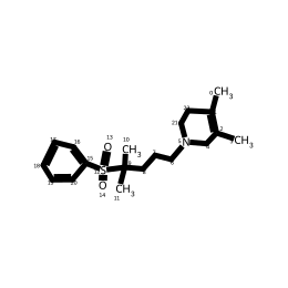 CC1=C(C)CN(CCCC(C)(C)S(=O)(=O)c2ccccc2)CC1